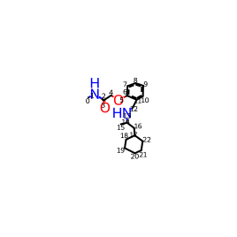 CNC(=O)COc1ccccc1CNC(C)CC1CCCCC1